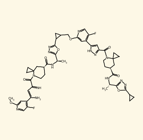 COc1cc(/C(N)=C/C(=N)C(=O)N2CC[C@H](C(=O)N[C@H](C)c3nnc(C4CC4COc4cc(-c5cc(C(=O)N6CC[C@H](C(=O)N[C@@H](C)c7nnc(C8CC8)o7)CC67CC7)n[nH]5)c(F)cn4)o3)CC23CC3)c(F)cn1